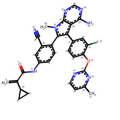 C=C(C(=O)Nc1ccc(-c2c(-c3ccc(Oc4nccc(C)n4)c(F)c3)c3c(N)ncnc3n2C)c(C#N)c1)C1CC1